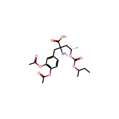 CCC(C)OC(=O)O[C@@H](C)CC(N)(Cc1ccc(OC(C)=O)c(OC(C)=O)c1)C(=O)O